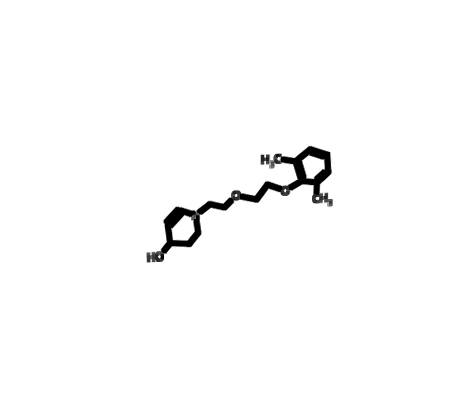 Cc1cccc(C)c1OCCOCCN1C#CC(O)CC1